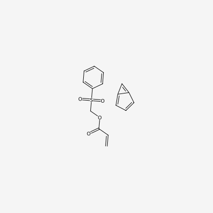 C=CC(=O)OCS(=O)(=O)c1ccccc1.c1cc2cc-2c1